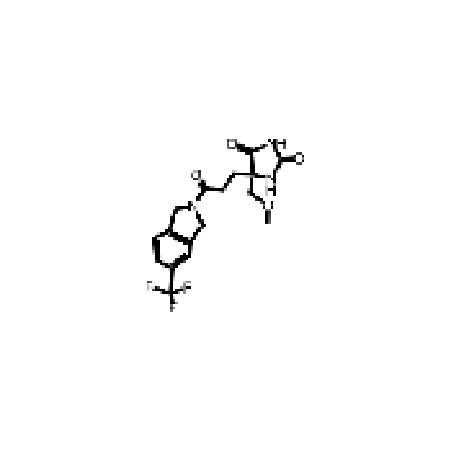 COC[C@]1(CCC(=O)N2Cc3ccc(C(F)(F)F)cc3C2)NC(=O)NC1=O